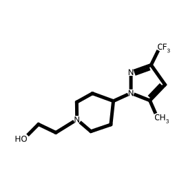 Cc1cc(C(F)(F)F)nn1C1CCN(CCO)CC1